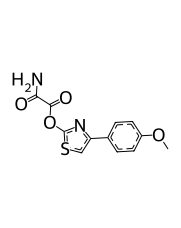 COc1ccc(-c2csc(OC(=O)C(N)=O)n2)cc1